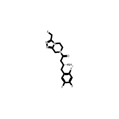 N[C@@H](CC(=O)N1CCn2c(CF)nnc2C1)Cc1cc(F)c(F)cc1F